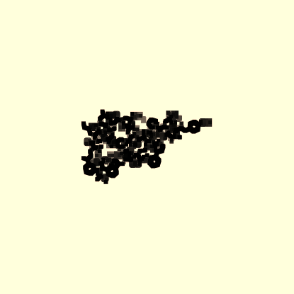 CCCC[C@@H](C(=O)N[C@@H](CC(C)C)C(=O)N[C@@H](CSCC(N)=O)C(=O)NCC(N)=O)N(C)C(=O)[C@H](CCC(C)c1cccc(N(C(C)OC)C(C(=O)O)c2cccc3c(C[C@H](NC(=O)[C@@H]4C[C@@H](O)CN4C(=O)[C@H](CC(C)C)NC(=O)[C@H](CNc4nccc(-c5ccccc5)n4)NC(=O)[C@@H]4CCCN4C(=O)[C@H](CC(N)=O)NC(=O)[C@H](C)N(C)C(=O)[C@@H](C)Cc4ccc(O)cc4)C(=O)N[C@@H](CCN)C(=O)NC)c[nH]c23)c1)NC